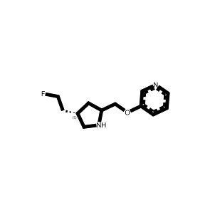 FCC[C@H]1CNC(COc2cccnc2)C1